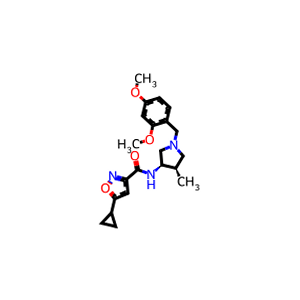 COc1ccc(CN2C[C@@H](C)[C@@H](NC(=O)c3cc(C4CC4)on3)C2)c(OC)c1